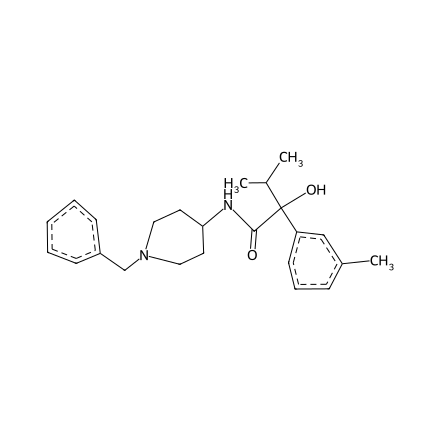 Cc1cccc(C(O)(C(=O)NC2CCN(Cc3ccccc3)CC2)C(C)C)c1